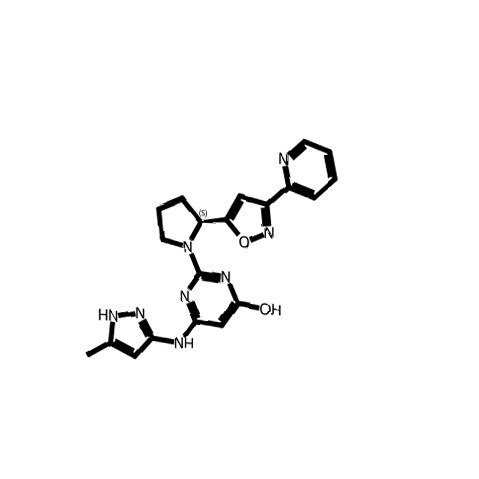 Cc1cc(Nc2cc(O)nc(N3CCC[C@H]3c3cc(-c4ccccn4)no3)n2)n[nH]1